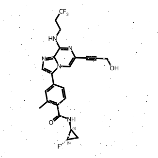 Cc1cc(-c2cnc3c(NCCC(F)(F)F)nc(C#CCO)cn23)ccc1C(=O)N[C@H]1C[C@@H]1F